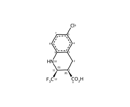 O=C(O)[C@@H]1Cc2cc(Cl)ccc2N[C@@H]1C(F)(F)F